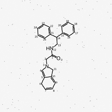 O=C(CN1C=C2CC=CC=C2C1)NCC(c1ccccc1)c1ccccc1